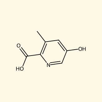 Cc1cc(O)cnc1C(=O)O